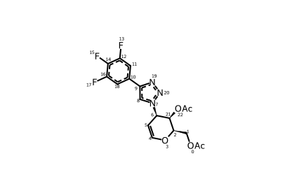 CC(=O)OC[C@H]1OC=C[C@@H](n2cc(-c3cc(F)c(F)c(F)c3)nn2)[C@H]1OC(C)=O